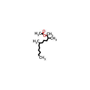 CCCCCCC(C)CCCC(C)C(C)OC(C)=O